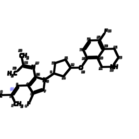 CC/C(C)=C/c1c(F)cn(C2CCC(Oc3ccc(F)c4c3CNCC4)C2)c1N=C(C)C